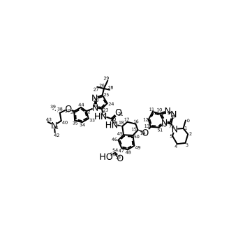 CC1CCCCN1c1nnc2ccc(O[C@@H]3CC[C@H](NC(=O)Nc4cc(C(C)(C)C)nn4-c4cccc(O[C@@H](C)CN(C)C)c4)c4ccccc43)cn12.O=CO